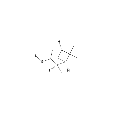 C[C@H]1C(SI)C[C@@H]2C[C@H]1C2(C)C